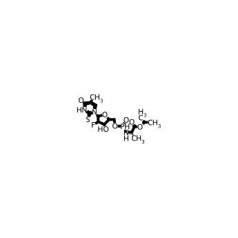 Cc1cn(C2OC(CO[PH](=O)N[C@@H](C)C(=O)OC(C)C)C(O)C2F)c(=S)[nH]c1=O